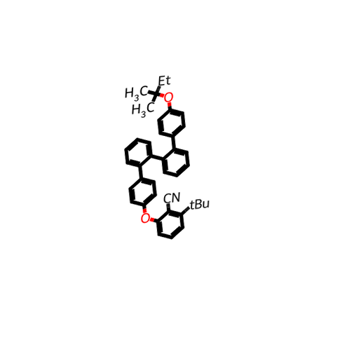 CCC(C)(C)Oc1ccc(-c2ccccc2-c2ccccc2-c2ccc(Oc3cccc(C(C)(C)C)c3C#N)cc2)cc1